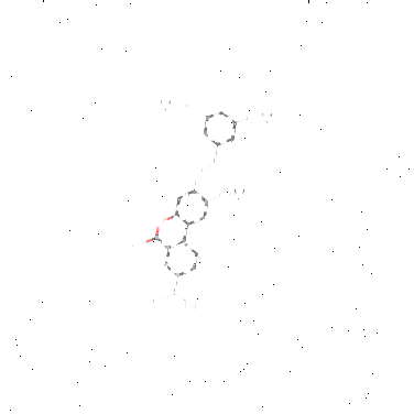 COc1cc(COc2cc3oc(=O)c4cc(C(C)Br)ccc4c3cc2OC)cc(OC)c1